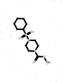 CC(C)(C)OC(=O)N1CCN(S(=O)(=O)C2CCCCC2)CC1